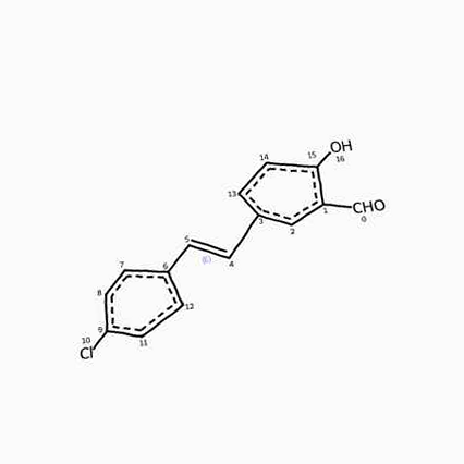 O=Cc1cc(/C=C/c2ccc(Cl)cc2)ccc1O